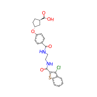 O=C(NCCNC(=O)c1sc2ccccc2c1Cl)c1ccc(O[C@@H]2CC[C@@H](C(=O)O)C2)cc1